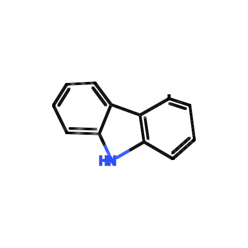 [c]1cccc2[nH]c3ccccc3c12